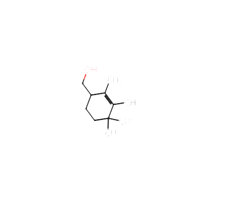 CC1=C(C)C(C)(C)CCC1CO